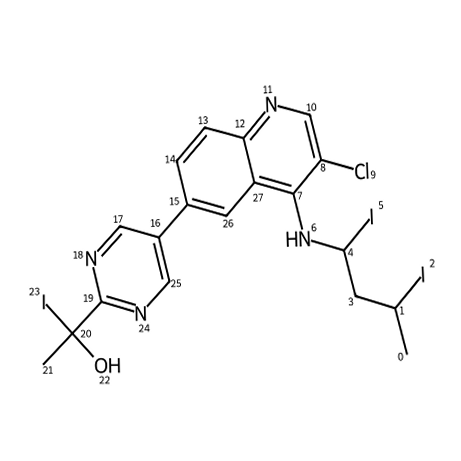 CC(I)CC(I)Nc1c(Cl)cnc2ccc(-c3cnc(C(C)(O)I)nc3)cc12